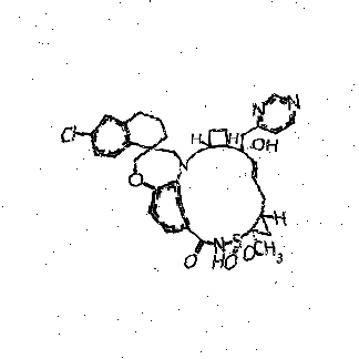 C[C@@]12C[C@H]1C/C=C/[C@](O)(Cc1ccncn1)[C@@H]1CC[C@H]1CN1C[C@@]3(CCCc4cc(Cl)ccc43)COc3ccc(cc31)C(=O)NS2(=O)=O